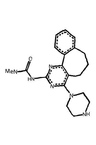 CNC(=O)Nc1nc2c(c(N3CCNCC3)n1)CCCc1ccccc1-2